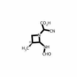 C[C@H]1CN(C(C#N)C(=O)O)C1NC=O